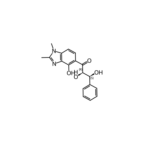 Cc1nc2c(O)c(C(=O)[C@H](O)[C@@H](O)c3ccccc3)ccc2n1C